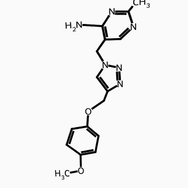 COc1ccc(OCc2cn(Cc3cnc(C)nc3N)nn2)cc1